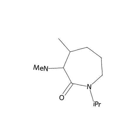 CNC1C(=O)N(C(C)C)CCCC1C